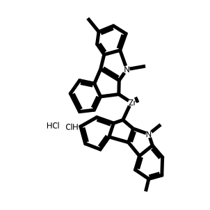 Cl.Cl.[CH2]=[Zr]([CH]1c2ccccc2-c2c1n(C)c1ccc(C)cc21)[CH]1c2ccccc2-c2c1n(C)c1ccc(C)cc21